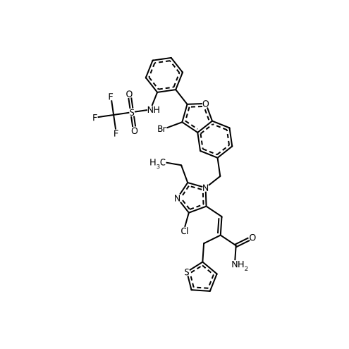 CCc1nc(Cl)c(/C=C(\Cc2cccs2)C(N)=O)n1Cc1ccc2oc(-c3ccccc3NS(=O)(=O)C(F)(F)F)c(Br)c2c1